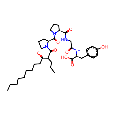 CCCCCCCCCC(=O)C(CCC)C(=O)N1CCC[C@H]1C(=O)N1CCC[C@H]1C(=O)NCC(=O)N[C@@H](Cc1ccc(O)cc1)C(=O)O